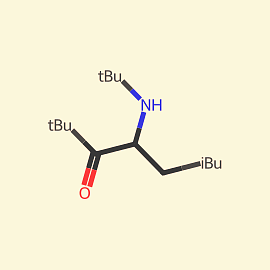 CCC(C)CC(NC(C)(C)C)C(=O)C(C)(C)C